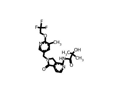 Cc1cc(CN2Cc3c(ccnc3NC(=O)C(C)(C)O)C2=O)cnc1OCC(F)(F)F